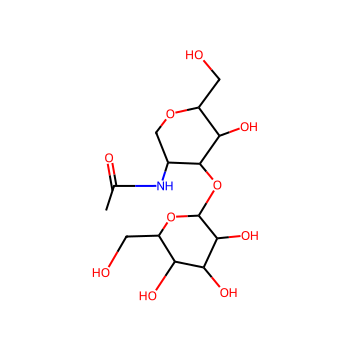 CC(=O)NC1COC(CO)C(O)C1OC1OC(CO)C(O)C(O)C1O